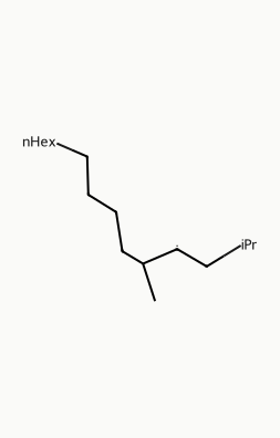 CCCCCCCCCCC(C)[CH]CC(C)C